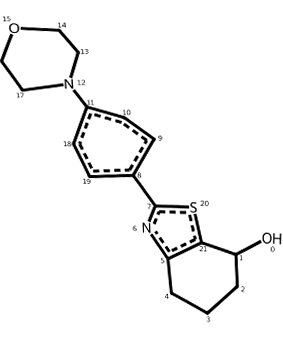 OC1CCCc2nc(-c3ccc(N4CCOCC4)cc3)sc21